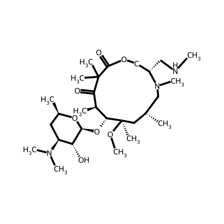 CNC[C@H]1COC(=O)C(C)(C)C(=O)[C@H](C)[C@@H](O[C@@H]2O[C@H](C)C[C@H](N(C)C)[C@H]2O)[C@](C)(OC)C[C@@H](C)CN1C